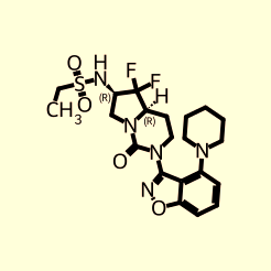 CCS(=O)(=O)N[C@@H]1CN2C(=O)N(c3noc4cccc(N5CCCCC5)c34)CC[C@@H]2C1(F)F